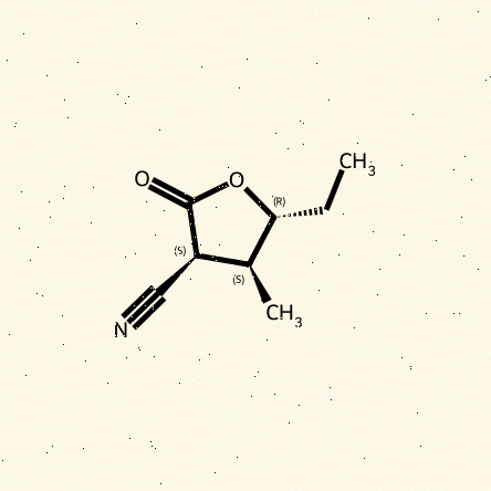 CC[C@H]1OC(=O)[C@H](C#N)[C@@H]1C